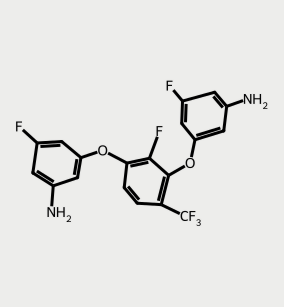 Nc1cc(F)cc(Oc2ccc(C(F)(F)F)c(Oc3cc(N)cc(F)c3)c2F)c1